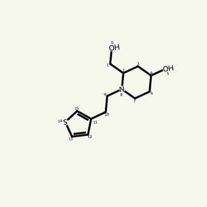 OCC1CC(O)CCN1CCc1ccsc1